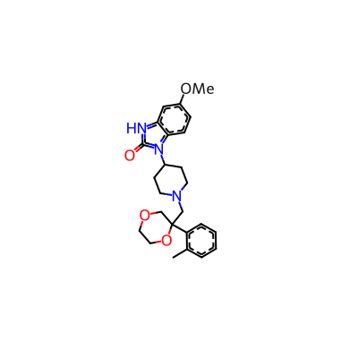 COc1ccc2c(c1)[nH]c(=O)n2C1CCN(CC2(c3ccccc3C)COCCO2)CC1